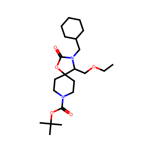 CCOCC1N(CC2CCCCC2)C(=O)OC12CCN(C(=O)OC(C)(C)C)CC2